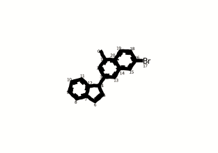 Cc1cc(C2C=Cc3ccccc32)cc2cc(Br)ccc12